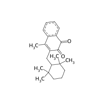 CC1=C(CC2C(C)(C)CCCC2(C)C)C(=O)C(=O)c2ccccc21